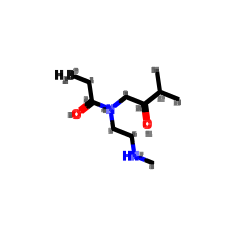 BCC(=O)N(CCNC)CC(=O)C(C)C